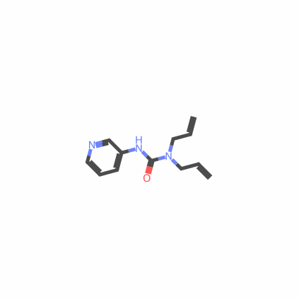 C=CCN(CC=C)C(=O)Nc1cccnc1